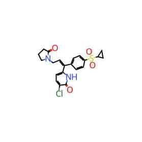 O=C1CCCN1C/C=C(/c1ccc(S(=O)(=O)C2CC2)cc1)c1ccc(Cl)c(=O)[nH]1